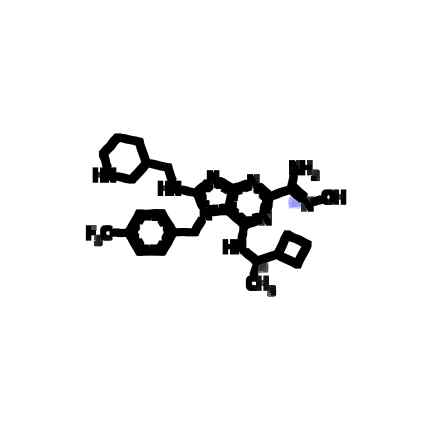 C[C@@H](Nc1nc(/C(N)=N/O)nc2nc(NCC3CCCNC3)n(Cc3ccc(C(F)(F)F)cc3)c12)C1CCC1